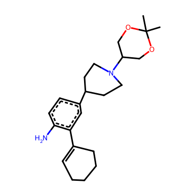 CC1(C)OCC(N2CCC(c3ccc(N)c(C4=CCCCC4)c3)CC2)CO1